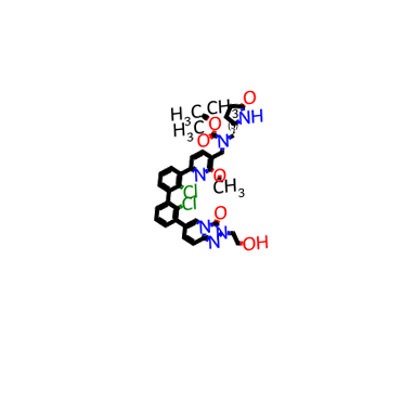 COc1nc(-c2cccc(-c3cccc(-c4ccc5nn(CCO)c(=O)n5c4)c3Cl)c2Cl)ccc1CN(C[C@@H]1CCC(=O)N1)C(=O)OC(C)(C)C